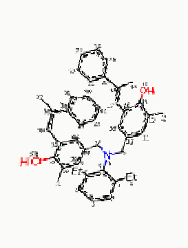 CCc1cccc(CC)c1N(Cc1cc(C)c(O)c(C=C(C)c2ccccc2)c1)Cc1cc(C)c(O)c(C=C(C)c2ccccc2)c1